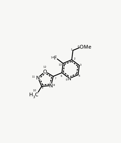 COCc1ccnc(-c2nc(C)no2)c1F